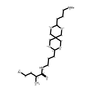 CNCCCC1OCC2(CO1)COC(CCCNC(=O)C(C)CCC(C)=O)OC2